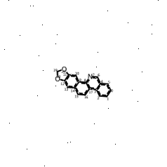 c1ccc2c(c1)cnc1c3cc4c(cc3ccc21)OCO4